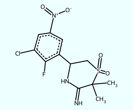 CC1(C)C(=N)NC(c2cc([N+](=O)[O-])cc(Cl)c2F)CS1(=O)=O